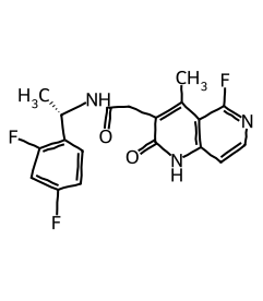 Cc1c(CC(=O)N[C@@H](C)c2ccc(F)cc2F)c(=O)[nH]c2ccnc(F)c12